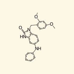 COc1ccc(Cn2c(=O)[nH]c3cc(Nc4ccccc4)ccc32)c(OC)c1